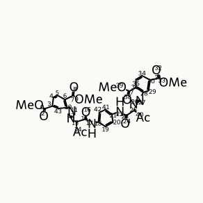 COC(=O)c1ccc(C(=O)OC)c(N=NC(C(C)=O)C(=O)Nc2ccc(NC(=O)C(N=Nc3cc(C(=O)OC)ccc3C(=O)OC)C(C)=O)cc2)c1